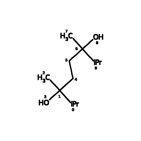 CC(C)C(C)(O)CCC(C)(O)C(C)C